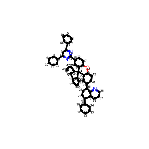 c1ccc(-c2cc(-c3ccccc3)nc(-c3ccc4c(c3)C3(c5cc(-c6ccc(-c7ccccc7)c7cccnc67)ccc5O4)c4ccccc4-c4ccccc43)n2)cc1